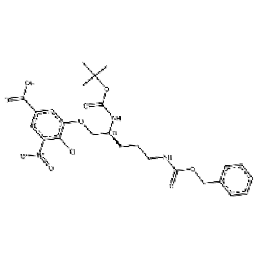 CC(C)(C)OC(=O)N[C@@H](CCCNC(=O)OCc1ccccc1)COc1cc(C(=O)O)cc([N+](=O)[O-])c1Cl